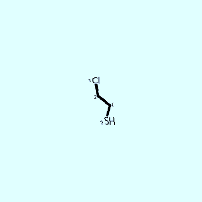 SCCCl